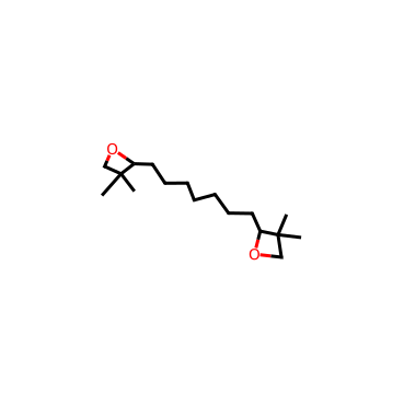 CC1(C)COC1CCCCCCCC1OCC1(C)C